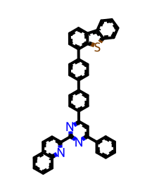 c1ccc(-c2cc(-c3ccc(-c4ccc(-c5cccc6c5sc5ccccc56)cc4)cc3)nc(-c3ccc4ccccc4n3)n2)cc1